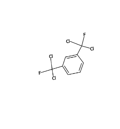 FC(Cl)(Cl)c1cccc(C(F)(Cl)Cl)c1